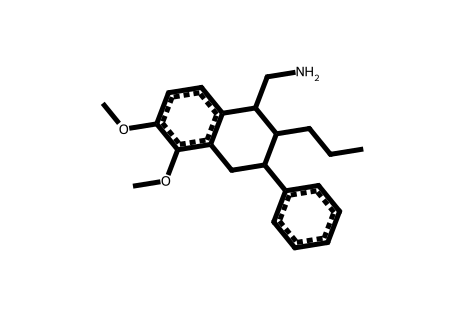 CCCC1C(c2ccccc2)Cc2c(ccc(OC)c2OC)C1CN